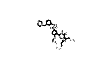 CCCc1nc(CC)c2c(=O)[nH]c(-c3cc(S(=O)(=O)Nc4cccc(CN5CCOCC5)c4)ccc3OCC)nn12